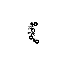 O=C(C(O)c1cccc(-c2cc3ccccc3s2)c1)N1CCc2nc(C3(c4ccccc4)CC3)[nH]c(=O)c2C1